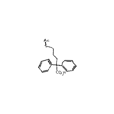 CC(=O)SCCCC(C(=O)O)(c1ccccc1)c1ccccc1